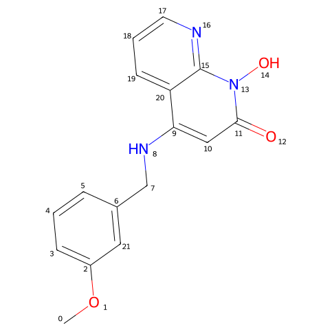 COc1cccc(CNc2cc(=O)n(O)c3ncccc23)c1